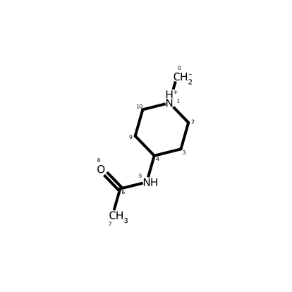 [CH2-][NH+]1CCC(NC(C)=O)CC1